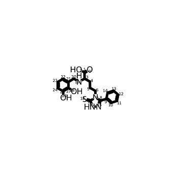 O=C(O)C(CCCn1c(-c2ccccc2)n[nH]c1=S)NCc1cccc(O)c1O